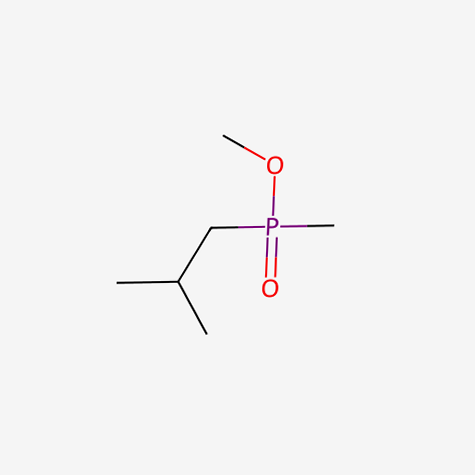 COP(C)(=O)CC(C)C